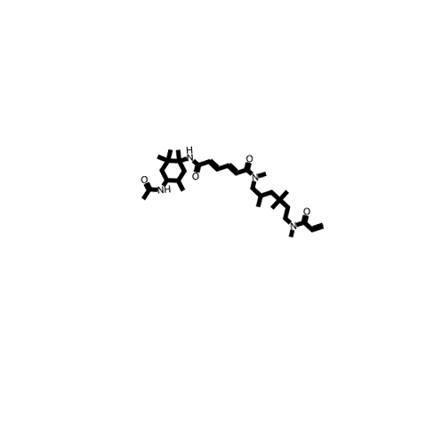 C=CC(=O)N(C)CCC(C)(C)CC(C)CN(C)C(=O)/C=C/C=C/C(=O)NC1(C)CC(C)C(NC(C)=O)CC1(C)C